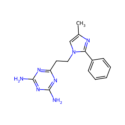 Cc1cn(CCc2nc(N)nc(N)n2)c(-c2ccccc2)n1